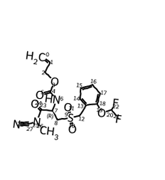 C=CCOC(=O)N[C@@H](CS(=O)(=O)Cc1ccccc1OC(F)F)C(=O)N(C)C#N